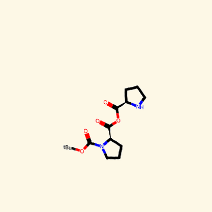 CC(C)(C)OC(=O)N1CCC[C@@H]1C(=O)OC(=O)[C@H]1CCCN1